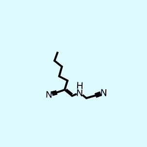 CCCCC/C(C#N)=C\NCC#N